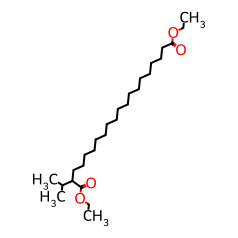 CCOC(=O)CCCCCCCCCCCCCCCCCC(C(=O)OCC)C(C)C